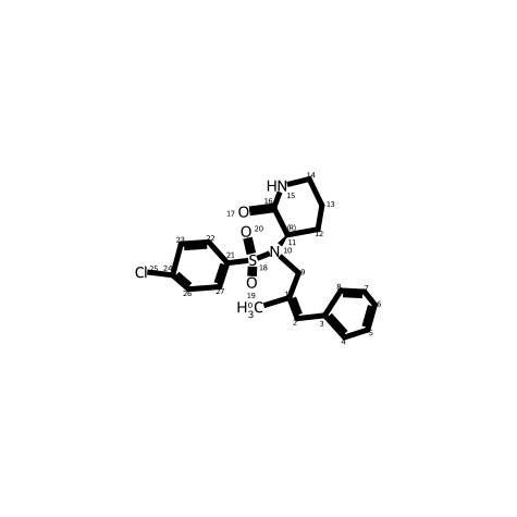 CC(=Cc1ccccc1)CN([C@@H]1CCCNC1=O)S(=O)(=O)c1ccc(Cl)cc1